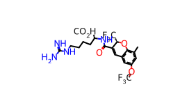 Cc1cc(OC(F)(F)F)cc2c1O[C@H](C(F)(F)F)C(C(=O)NC(CCCCNC(=N)N)C(=O)O)=C2